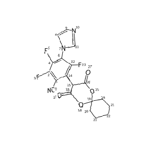 N#Cc1c(F)c(F)c(-n2ccnc2)c(F)c1C1C(=O)OC2(CCCCC2)OC1=O